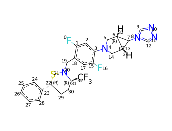 Fc1cc(N2C[C@@H]3C(n4cnnc4)[C@@H]3C2)c(F)cc1CN1S[C@@H](c2ccccc2)CC[C@@H]1C(F)(F)F